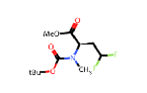 COC(=O)[C@@H](CC(F)F)N(C)C(=O)OC(C)(C)C